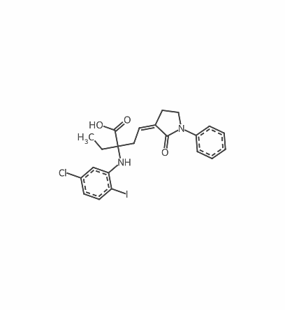 CCC(C/C=C1/CCN(c2ccccc2)C1=O)(Nc1cc(Cl)ccc1I)C(=O)O